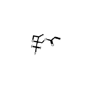 C=CC(=O)OCC1(C(F)(F)F)OCC1C